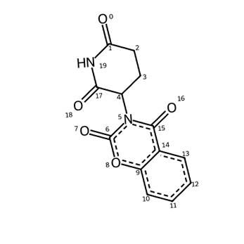 O=C1CCC(n2c(=O)oc3ccccc3c2=O)C(=O)N1